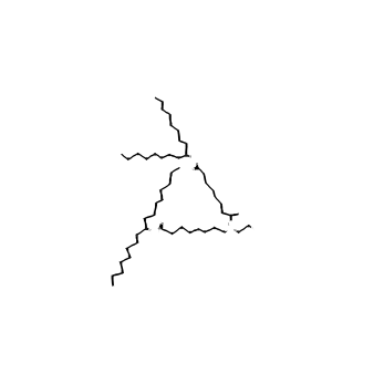 CCCCCCCCC(CCCCCCCC)OC(=O)CCCCCCCN(CCO)C(C)CCCCCCC(=O)OC(CCCCCCCC)CCCCCCCC